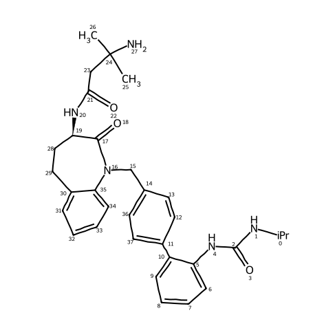 CC(C)NC(=O)Nc1ccccc1-c1ccc(CN2C(=O)[C@H](NC(=O)CC(C)(C)N)CCc3ccccc32)cc1